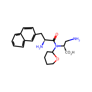 NC[C@@H](C(=O)O)N(C(=O)[C@@H](N)Cc1ccc2ccccc2c1)C1CCCCO1